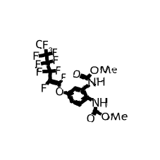 COC(=O)Nc1ccc(OC(F)=C(F)C(F)(F)C(F)(F)C(F)(F)C(F)(F)F)cc1NC(=O)OC